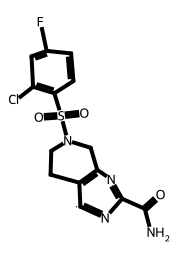 NC(=O)c1n[c]c2c(n1)CN(S(=O)(=O)c1ccc(F)cc1Cl)CC2